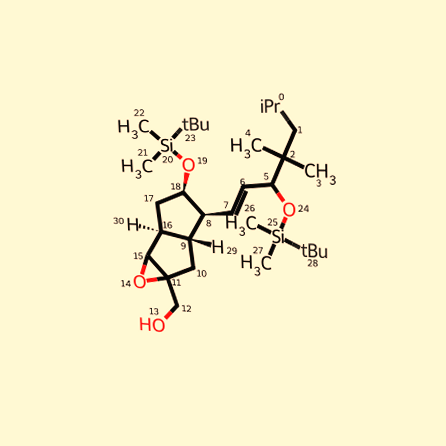 CC(C)CC(C)(C)C(/C=C/[C@H]1[C@@H]2CC3(CO)OC3[C@H]2C[C@H]1O[Si](C)(C)C(C)(C)C)O[Si](C)(C)C(C)(C)C